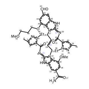 CCn1nc(C)cc1C(=O)/N=c1/[nH]c2cc(C(N)=O)cc(OC)c2n1C/C=C/Cn1/c(=N\C(=O)c2cc(C)nn2CC)[nH]c2cc(C=O)cc(OCCCOC)c21